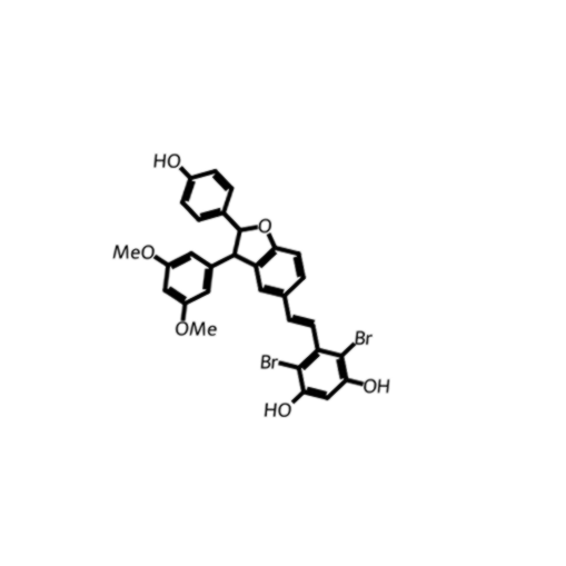 COc1cc(OC)cc(C2c3cc(/C=C/c4c(Br)c(O)cc(O)c4Br)ccc3OC2c2ccc(O)cc2)c1